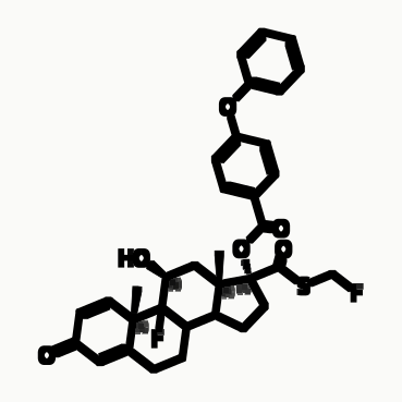 C[C@]12C=CC(=O)C=C1CCC1C3CC[C@](OC(=O)c4ccc(Oc5ccccc5)cc4)(C(=O)SCF)[C@@]3(C)C[C@H](O)C12F